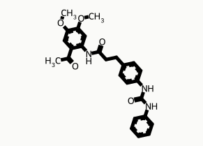 COc1cc(NC(=O)CCc2ccc(NC(=O)Nc3ccccc3)cc2)c(C(C)=O)cc1OC